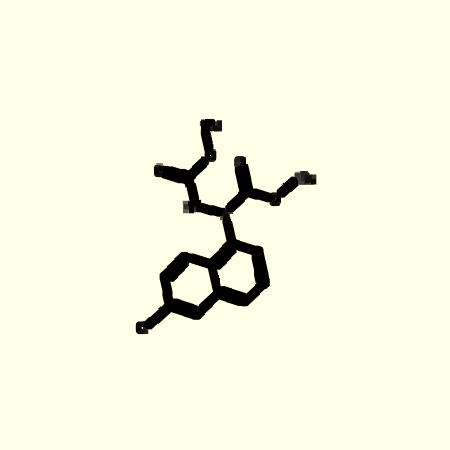 CC(C)(C)OC(=O)NN(C(=O)OC(C)(C)C)c1cccc2cc(Cl)ccc12